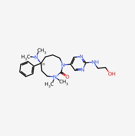 CN(C)[C@@]1(c2ccccc2)CCCN(c2cnc(NCCO)nc2)C(=O)[N+](C)(C)CC1